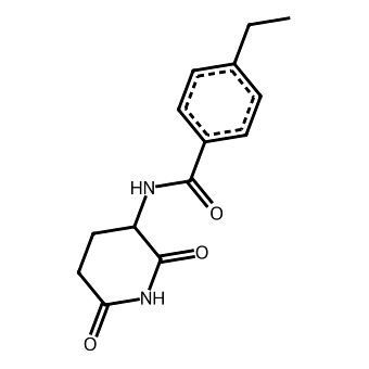 CCc1ccc(C(=O)NC2CCC(=O)NC2=O)cc1